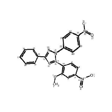 COc1cc([N+](=O)[O-])ccc1-[n+]1nc(-c2ccccc2)nn1-c1ccc([N+](=O)[O-])cc1